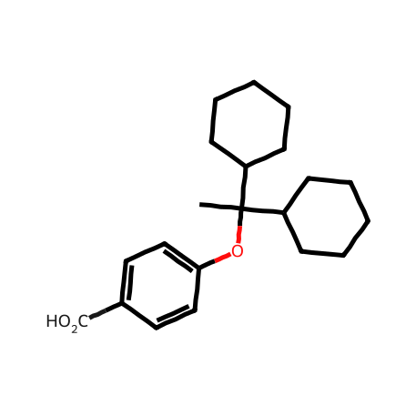 CC(Oc1ccc(C(=O)O)cc1)(C1CCCCC1)C1CCCCC1